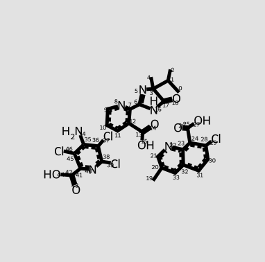 CC(C)C1(C)N=C(c2ncccc2C(=O)O)NC1=O.Cc1cnc2c(C(=O)O)c(Cl)ccc2c1.Nc1c(Cl)c(Cl)nc(C(=O)O)c1Cl